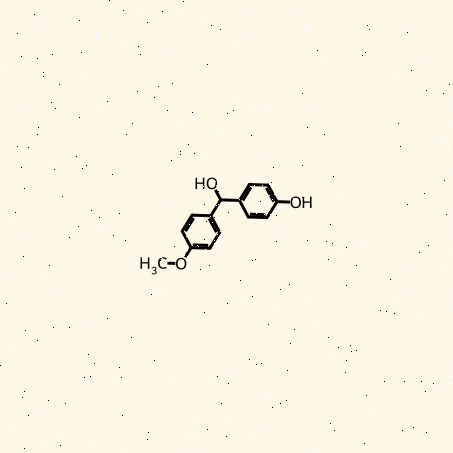 COc1ccc(C(O)c2ccc(O)cc2)cc1